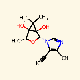 C#Cc1c(C#N)ncn1[C@@H]1O[C@H](C)[C@]2(O)C(C)(C)[C@]12O